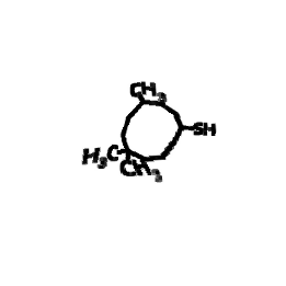 CC1CCC(S)CCCC(C)(C)CC1